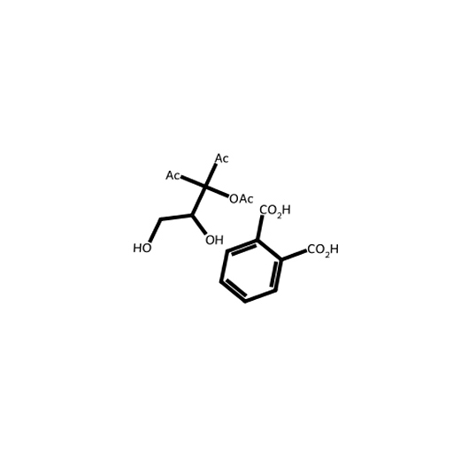 CC(=O)OC(C(C)=O)(C(C)=O)C(O)CO.O=C(O)c1ccccc1C(=O)O